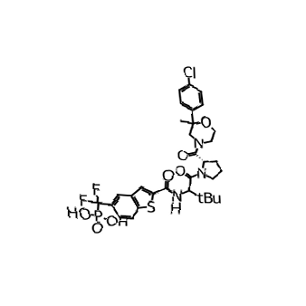 CC1(c2ccc(Cl)cc2)CN(C(=O)[C@@H]2CCCN2C(=O)C(NC(=O)c2cc3cc(C(F)(F)P(=O)(O)O)ccc3s2)C(C)(C)C)CCO1